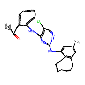 CNC(=O)c1ccccc1Nc1nc(Nc2cc([N+](=O)[O-])cc3c2CCCC3)ncc1Cl